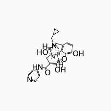 O=C(Nc1ccncc1)C1=C(O)[C@@H]2Oc3c(O)ccc4c3[C@@]23CCN(CC2CC2)[C@H](C4)[C@]3(O)C1